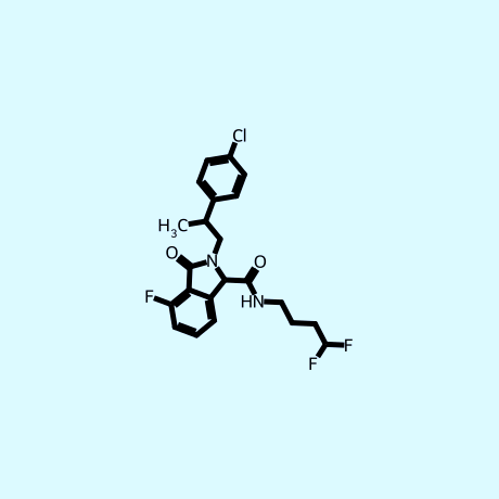 CC(CN1C(=O)c2c(F)cccc2C1C(=O)NCCCC(F)F)c1ccc(Cl)cc1